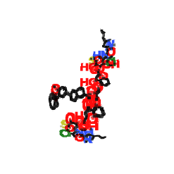 CCCC1CC(C(=O)NC(C(C)Cl)C2OC(SC)C(O)C(OC(=O)C3=CC(O)c4c(OCC(COc5cccc6oc(C(=O)OC7C(O)C(SC)OC(C(NC(=O)C8CC(CCC)CN8C)C(C)Cl)C7O)cc(=O)c56)OC(=O)c5ccc6cc(-c7ccc(OC)c(C89CC%10CC(CC(C%10)C8)C9)c7)ccc6c5)cccc4O3)C2O)N(C)C1